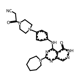 N#CCC(=O)N1CCN(c2ccc(Nc3nc(N4CCCCCC4)nc4cn[nH]c(=O)c34)cc2)CC1